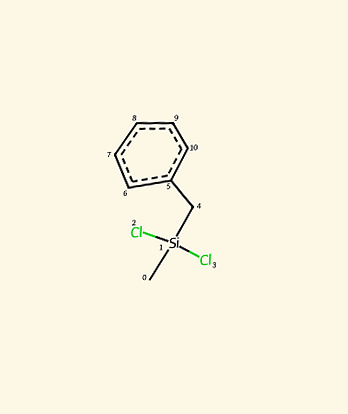 C[Si](Cl)(Cl)Cc1ccccc1